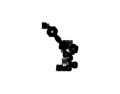 COC(=O)NCC(=O)N1CCC[C@H]1c1ncc(C#Cc2ccc(Br)cc2)[nH]1